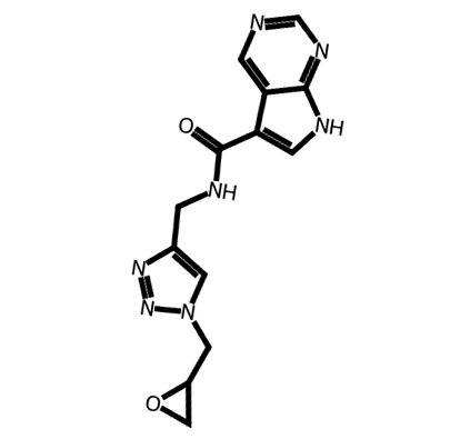 O=C(NCc1cn(CC2CO2)nn1)c1c[nH]c2ncncc12